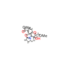 COCC1(C)Oc2ccc(C(=O)OC)cc2C(N2CCCC2=O)C1(C)O